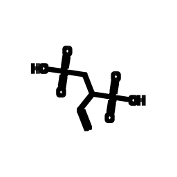 C=CC(CS(=O)(=O)O)S(=O)(=O)O